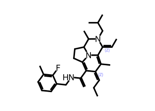 C=C(NCc1cccc(C)c1F)C1=C2CCC3C(C)N(CC(C)C)/C(=C\C)C(=C(C)/C1=C/CC)N23